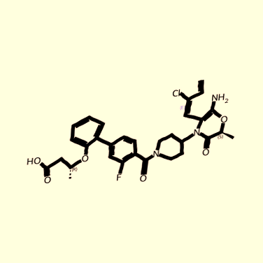 C=C/C(Cl)=C\C1=C(N)O[C@@H](C)C(=O)N1C1CCN(C(=O)c2ccc(-c3ccccc3O[C@H](C)CC(=O)O)cc2F)CC1